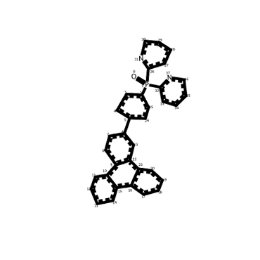 O=P(c1ccc(-c2ccc3c4ccccc4c4ccccc4c3c2)cc1)(c1ccccn1)c1ccccn1